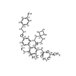 Cc1nc(CF)c(-c2ccc(OCCc3ccc(F)cc3)cc2)c(N2CCC3(CCC3)CC2)c1CC(=O)OC(C)C